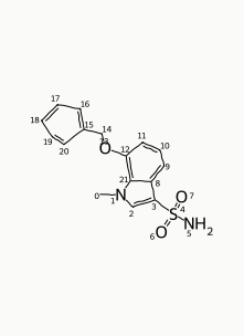 Cn1cc(S(N)(=O)=O)c2cccc(OCc3ccccc3)c21